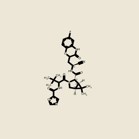 CC(C)(C)C(NC(=O)c1cnco1)C(=O)N1C[C@H]2[C@@H]([C@H]1C(=O)N[C@H](C#N)CC1Oc3ccc(F)cc3NC1=O)C2(C)C